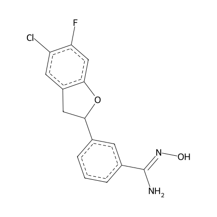 NC(=NO)c1cccc(C2Cc3cc(Cl)c(F)cc3O2)c1